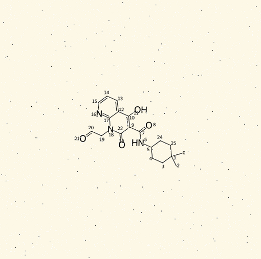 CC1(C)CCC(NC(=O)c2c(O)c3cccnc3n(CC=O)c2=O)CC1